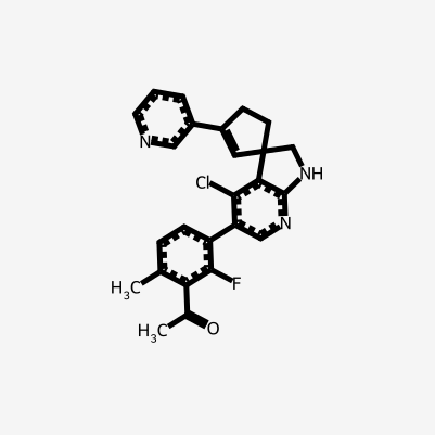 CC(=O)c1c(C)ccc(-c2cnc3c(c2Cl)C2(C=C(c4cccnc4)CC2)CN3)c1F